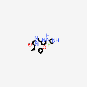 COc1cc2ncc(-c3cc(Oc4ccccc4)cc(N[C@H]4CNC[C@@H]4F)n3)n2nc1C1CC1